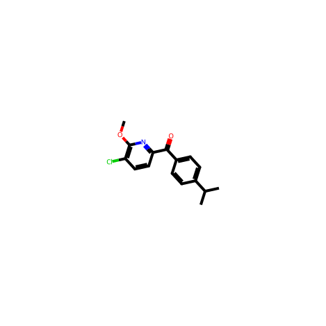 COc1nc(C(=O)c2ccc(C(C)C)cc2)ccc1Cl